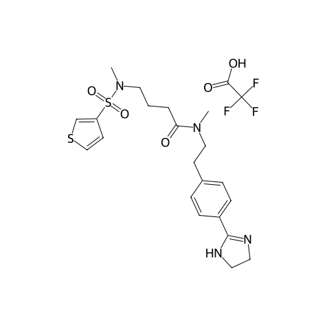 CN(CCc1ccc(C2=NCCN2)cc1)C(=O)CCCN(C)S(=O)(=O)c1ccsc1.O=C(O)C(F)(F)F